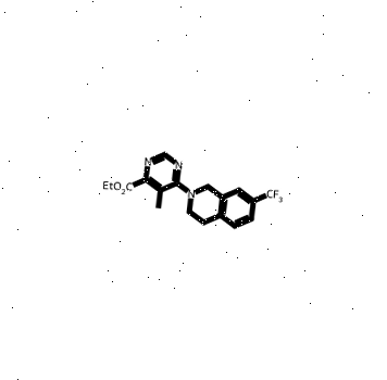 CCOC(=O)c1ncnc(N2CCc3ccc(C(F)(F)F)cc3C2)c1C